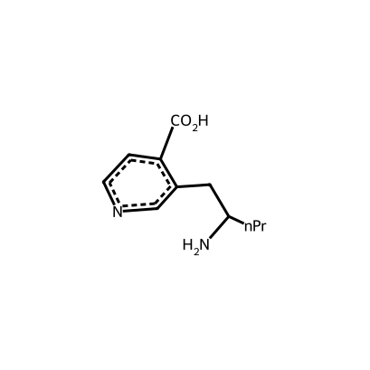 CCCC(N)Cc1cnccc1C(=O)O